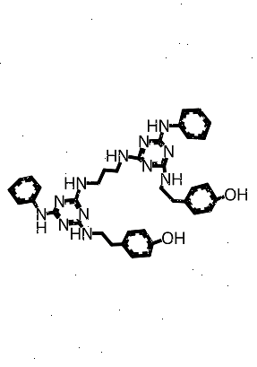 Oc1ccc(CCNc2nc(NCCCNc3nc(NCCc4ccc(O)cc4)nc(Nc4ccccc4)n3)nc(Nc3ccccc3)n2)cc1